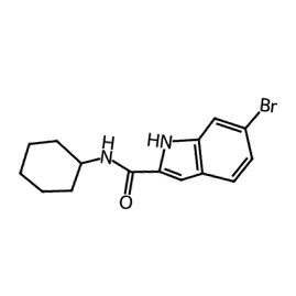 O=C(NC1CCCCC1)c1cc2ccc(Br)cc2[nH]1